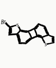 Brc1cc2ccc3c(c2s1)-c1ccc2ccsc2c1-3